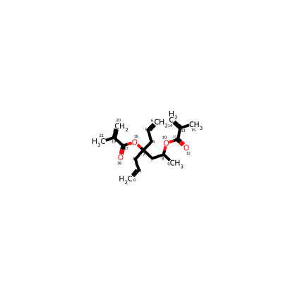 C=CCC(CC=C)(CC(C)OC(=O)C(=C)C)OC(=O)C(=C)C